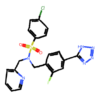 O=S(=O)(c1ccc(Cl)cc1)N(Cc1ccccn1)Cc1ccc(-c2nnn[nH]2)cc1F